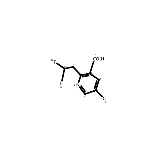 O=C(O)c1cc(Cl)cnc1CC(F)F